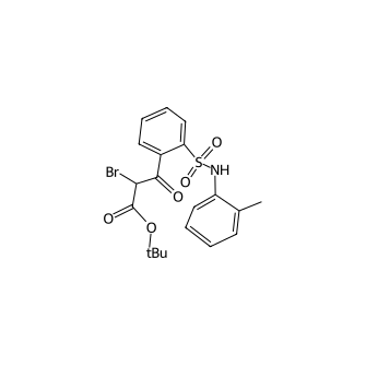 Cc1ccccc1NS(=O)(=O)c1ccccc1C(=O)C(Br)C(=O)OC(C)(C)C